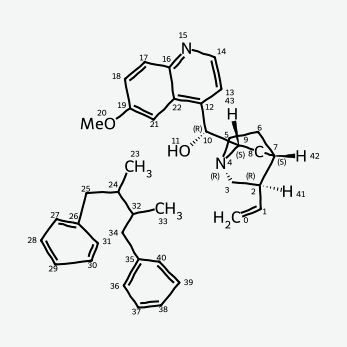 C=C[C@H]1C[N@]2CC[C@H]1C[C@H]2[C@H](O)c1ccnc2ccc(OC)cc12.CC(Cc1ccccc1)C(C)Cc1ccccc1